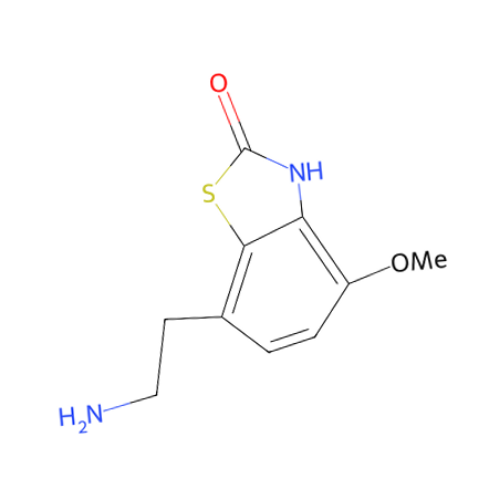 COc1ccc(CCN)c2sc(=O)[nH]c12